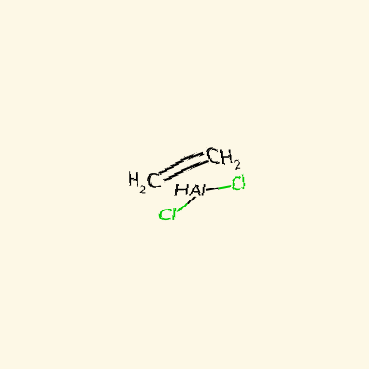 C=C.[Cl][AlH][Cl]